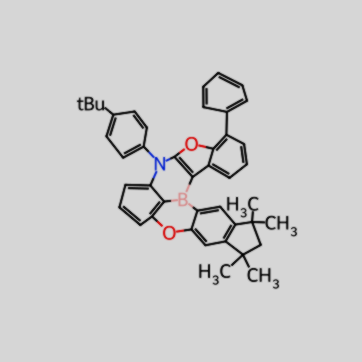 CC(C)(C)c1ccc(N2c3cccc4c3B(c3cc5c(cc3O4)C(C)(C)CC5(C)C)c3c2oc2c(-c4ccccc4)cccc32)cc1